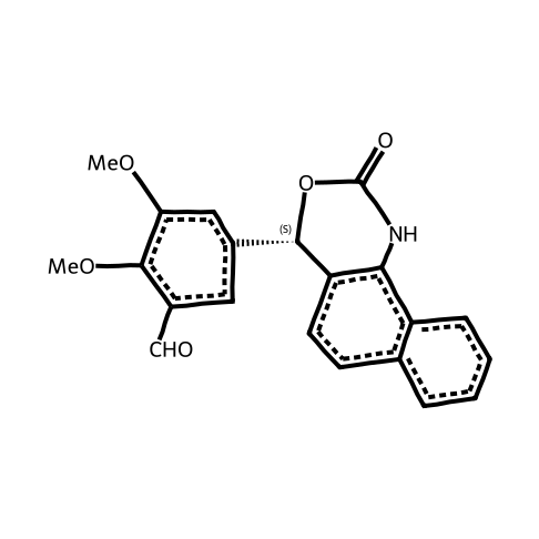 COc1cc([C@@H]2OC(=O)Nc3c2ccc2ccccc32)cc(C=O)c1OC